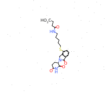 O=C(O)CCC(=O)NCCCCCSc1cccc2c1CN(C1CCC(=O)NC1=O)C2=O